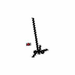 CCCCCCCCCCCCCCCCCCCCCCCCCCCCCC1=C(c2cccc(CCCC)c2)[N+](=[N-])C(c2cccc(CCCC)c2)=C1CCCC.[H-].[H-].[Ni]